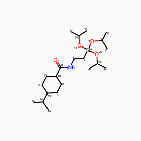 CC(C)O[Si](CCNC(=O)C1CCC(C(C)C)CC1)(OC(C)C)OC(C)C